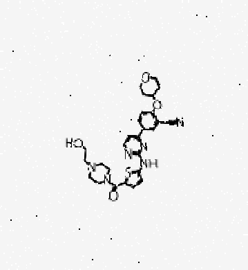 N#Cc1cc(-c2ccnc(Nc3ccc(C(=O)N4CCN(CCO)CC4)s3)n2)ccc1OC1CCOCC1